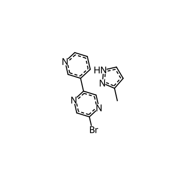 Brc1cnc(-c2cccnc2)cn1.Cc1cc[nH]n1